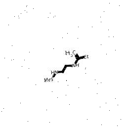 C=C(CC)NCCNSC